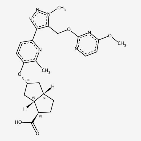 COc1ccnc(OCc2c(-c3ccc(O[C@@H]4C[C@@H]5CC[C@@H](C(=O)O)[C@@H]5C4)c(C)n3)nnn2C)n1